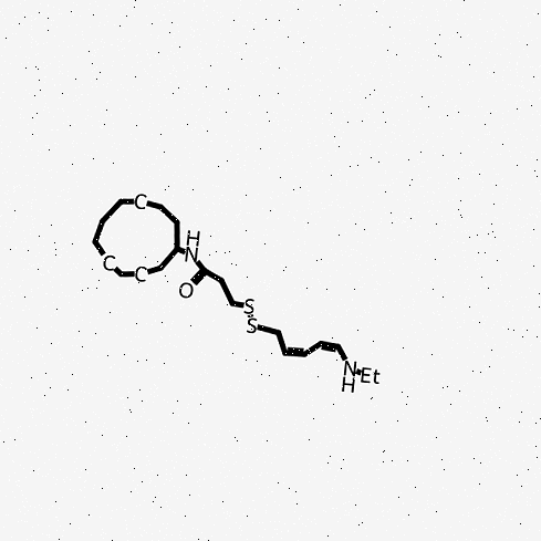 CCN/C=C\C=C/CSSCCC(=O)NC1CCCCCCCCCC1